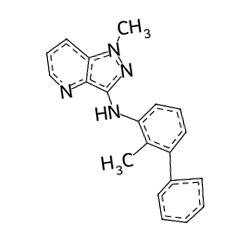 Cc1c(Nc2nn(C)c3cccnc23)cccc1-c1ccccc1